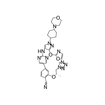 C[C@@H](Cn1cnnn1)Oc1cc(-c2cnc(Nc3cn(C4CCC(N5CCOCC5)CC4)nc3Oc3ncco3)nc2)ccc1C#N